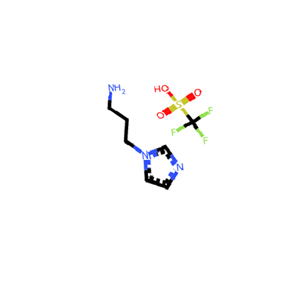 NCCCn1ccnc1.O=S(=O)(O)C(F)(F)F